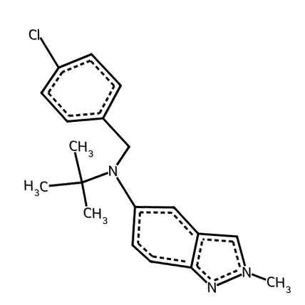 Cn1cc2cc(N(Cc3ccc(Cl)cc3)C(C)(C)C)ccc2n1